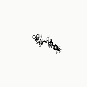 Cc1cc(-c2ccc(C(F)(F)F)cc2)nnc1NCCc1csc(SC(C)(C)C(=O)O)n1